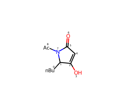 CCCCC1C(O)=CC(=O)N1C(C)=O